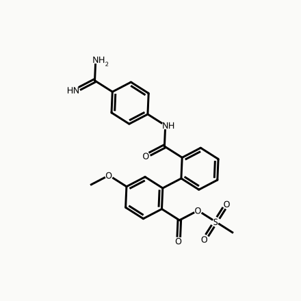 COc1ccc(C(=O)OS(C)(=O)=O)c(-c2ccccc2C(=O)Nc2ccc(C(=N)N)cc2)c1